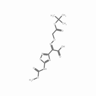 COC(=O)Nc1nc(C(=NOCC(=O)OC(C)(C)C)C(=O)O)ns1